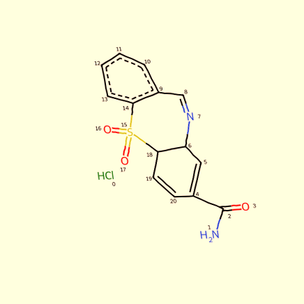 Cl.NC(=O)C1=CC2N=Cc3ccccc3S(=O)(=O)C2C=C1